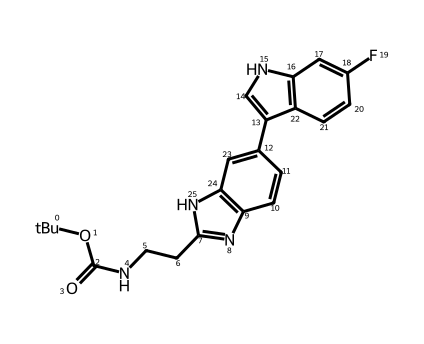 CC(C)(C)OC(=O)NCCc1nc2ccc(-c3c[nH]c4cc(F)ccc34)cc2[nH]1